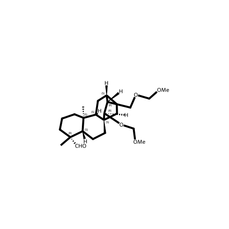 COCOC[C@H]1[C@H]2CC[C@@]3(CC[C@H]4[C@@](C)(CCC[C@@]4(C)C=O)[C@@H]3C2)[C@@H]1OCOC